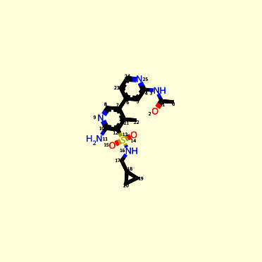 CC(=O)Nc1cc(-c2cnc(N)c(S(=O)(=O)NCC3CC3)c2C)ccn1